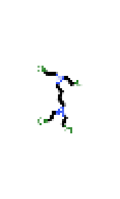 ClCCN(CCCl)CCCCN(CCCl)CCCl